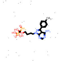 Cc1ccc(C2=NN(CCCCOC(O)([PH2]=O)P(=O)(O)O)C3N=CN=C(N)C23)cc1